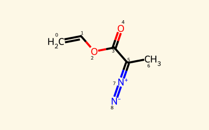 C=COC(=O)C(C)=[N+]=[N-]